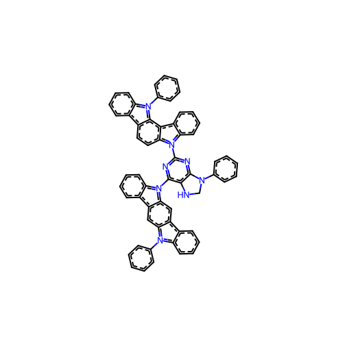 c1ccc(N2CNc3c2nc(-n2c4ccccc4c4c2ccc2c5ccccc5n(-c5ccccc5)c24)nc3-n2c3ccccc3c3cc4c(cc32)c2ccccc2n4-c2ccccc2)cc1